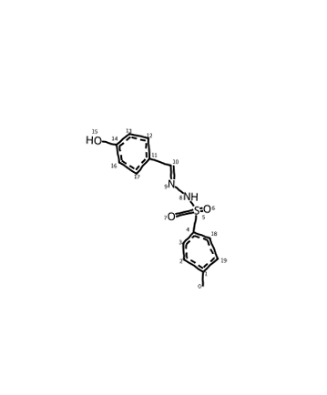 Cc1ccc(S(=O)(=O)NN=Cc2ccc(O)cc2)cc1